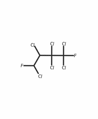 FC(Cl)C(Cl)C(Cl)(Cl)C(F)(Cl)Cl